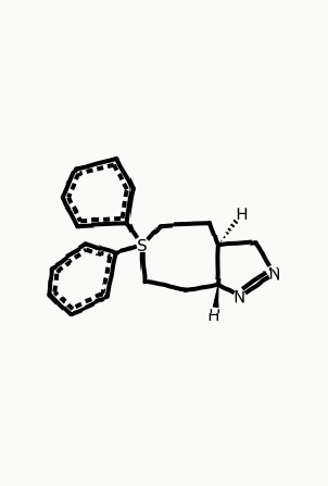 c1ccc(S2(c3ccccc3)CC[C@H]3CN=N[C@@H]3CC2)cc1